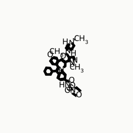 CCN1C[C@@H]2C[C@H]1CN2C(=O)c1cnn(C)c1C1=Cc2cc(OC)ccc2-c2c(C3CCCCC3)c3ccc(C(=O)NS(=O)(=O)N4CCOCC4)cc3n2C1